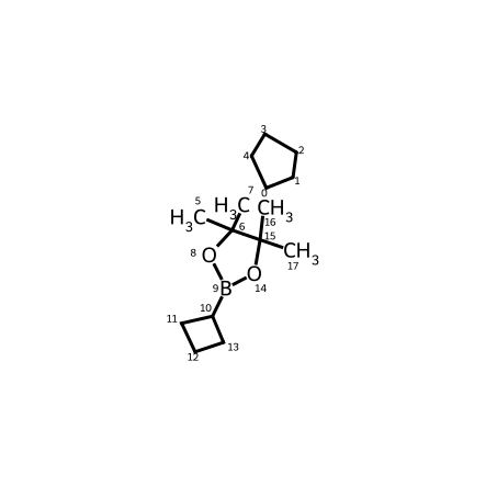 C1CCCC1.CC1(C)OB(C2CCC2)OC1(C)C